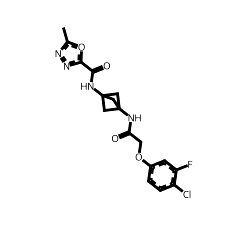 Cc1nnc(C(=O)NC23CC(NC(=O)COc4ccc(Cl)c(F)c4)(C2)C3)o1